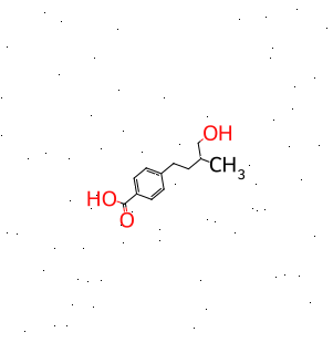 CC(CO)CCc1ccc(C(=O)O)cc1